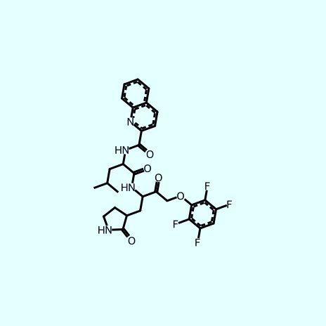 CC(C)CC(NC(=O)c1ccc2ccccc2n1)C(=O)NC(CC1CCNC1=O)C(=O)COc1c(F)c(F)cc(F)c1F